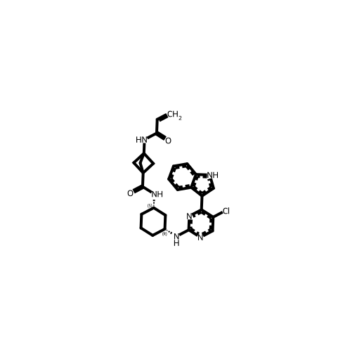 C=CC(=O)NC12CC(C(=O)N[C@H]3CCC[C@@H](Nc4ncc(Cl)c(-c5c[nH]c6ccccc56)n4)C3)(C1)C2